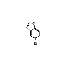 CCN1C=c2ccsc2=NC1